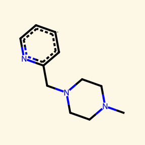 CN1CCN(Cc2c[c]ccn2)CC1